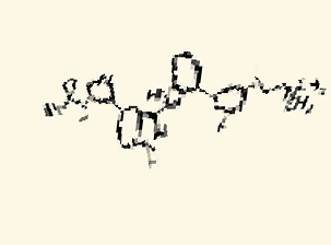 CC(C)C(=O)Nc1cncc(-c2ccc3[nH]nc(-c4cc5c(-c6cc(F)cc(NCCN(C)C)c6)cccc5[nH]4)c3c2)c1